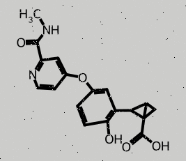 CNC(=O)c1cc(Oc2ccc(O)c(C3C4CC43C(=O)O)c2)ccn1